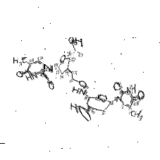 Cc1cn(C2CC(O)C(NOCC[C@H]3C[C@H](n4cc(C)c(=O)[nH]c4=O)O[C@@H]3CO)O2)c(=O)[nH]c1=O